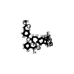 COC(=O)Cc1ccc(O[C@H]2CCC3=CC4(C)C(C=C3N(C(=O)[C@@H](C)c3ccccc3)C2)[C@@H](F)C4(N=O)C(F)(F)F)cc1